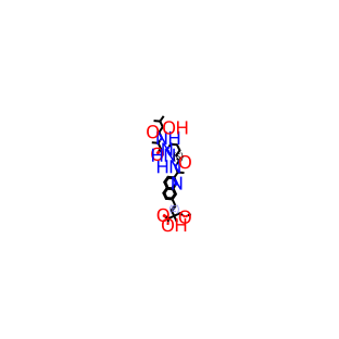 COCC(C)(/C=C/c1ccc2ccc(C(C)NC(=O)[C@@H]3CCCN(C(=O)C(C)NC(=O)C(O)C(C)C)N3)nc2c1)C(=O)O